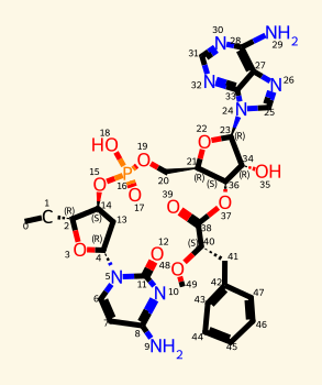 CC[C@H]1O[C@@H](n2ccc(N)nc2=O)C[C@@H]1OP(=O)(O)OC[C@H]1O[C@@H](n2cnc3c(N)ncnc32)[C@H](O)[C@@H]1OC(=O)[C@H](Cc1ccccc1)OC